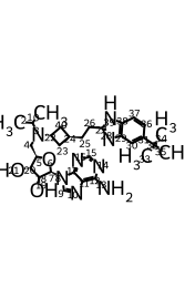 CC(C)N(C[C@H]1O[C@@H](n2cnc3c(N)ncnc32)C(O)[C@@H]1O)[C@H]1C[C@H](CCc2nc3cc(C(C)(C)C)ccc3[nH]2)C1